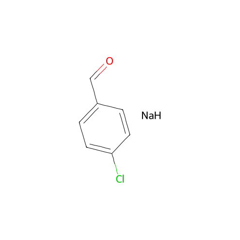 O=Cc1ccc(Cl)cc1.[NaH]